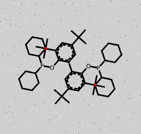 CC(C)(C)c1cc(-c2cc(C(C)(C)C)cc(C(C)(C)C)c2OP(C2CCCCC2)C2CCCCC2)c(OP(C2CCCCC2)C2CCCCC2)c(C(C)(C)C)c1